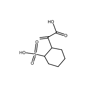 C=C(C(=O)O)C1CCCCC1S(=O)(=O)O